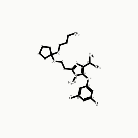 CCCCOC1(OCCc2nc(C(C)C)c(Sc3cc(Cl)cc(Cl)c3)n2C)CCCC1